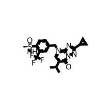 CC(C)c1cn(Cc2ccc([S@](C)(=N)=O)c(C(F)(F)F)c2)c2nc(C3CC3)nn2c1=O